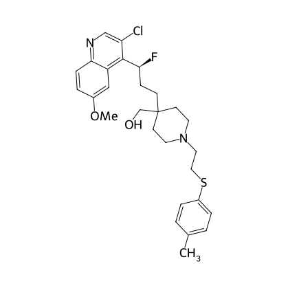 COc1ccc2ncc(Cl)c([C@@H](F)CCC3(CO)CCN(CCSc4ccc(C)cc4)CC3)c2c1